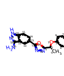 C[C@H](Oc1ccccc1)c1nnc(-c2ccc3[nH]nc(N)c3c2)o1